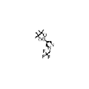 CC1(C)OB(c2cnn(CC(F)(F)F)c2)OC1(C)C